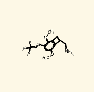 COc1cc(SCC(F)(F)F)c(OC)c2c1C(CN)C2